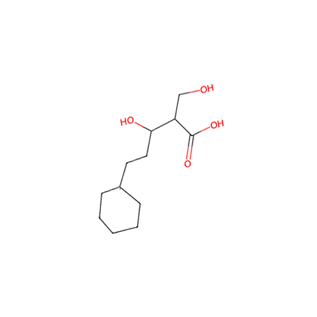 O=C(O)C(CO)C(O)CC[C]1CCCCC1